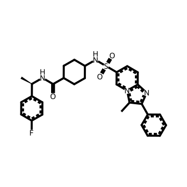 Cc1c(-c2ccccc2)nc2ccc(S(=O)(=O)NC3CCC(C(=O)N[C@H](C)c4ccc(F)cc4)CC3)cn12